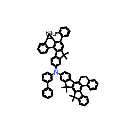 CC(C)(C)c1ccccc1-c1cc2c(c3c1C1CC1c1ccccc1-3)-c1ccc(N(c3cccc(-c4ccccc4)c3)c3ccc4c(c3)C(C)(C)c3c-4c4c(c5c3C(C)(C)c3ccccc3-5)-c3ccccc3CC4)cc1C2(C)C